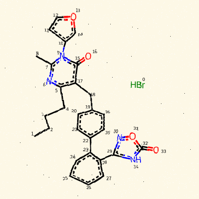 Br.CCCCc1nc(C)n(-c2ccoc2)c(=O)c1Cc1ccc(-c2ccccc2-c2noc(=O)[nH]2)cc1